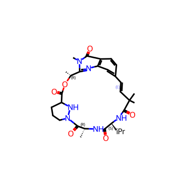 CC(C)[C@@H]1NC(=O)C(C)(C)/C=C/c2ccc3c(=O)n(C)c(nc3c2)[C@@H](C)OC(=O)C2CCCN(N2)C(=O)[C@@H](C)NC1=O